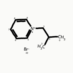 CC(C)C[n+]1ccccc1.[Br-]